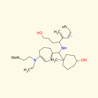 C=CN(CCNC)C1=CC=C(C(NC(CCCO)C(=C)/C=C\CCC)C2(C)CCCC(O)CC2)CCC1